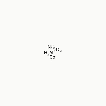 [AlH3].[Co].[O]=[Ni]